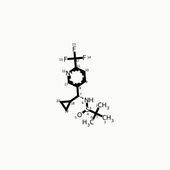 CC(C)(C)[S+]([O-])N[C@@H](c1ccc(C(F)(F)F)nc1)C1CC1